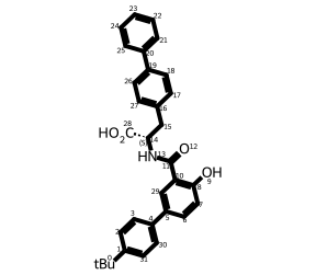 CC(C)(C)c1ccc(-c2ccc(O)c(C(=O)N[C@@H](Cc3ccc(-c4ccccc4)cc3)C(=O)O)c2)cc1